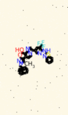 Cc1c(-c2ccn3c(-c4cnc(Nc5nc6ccccc6s5)c(C(F)(F)F)c4)cnc3c2C(=O)O)cnn1CC12CC3CC(CC(C3)C1)C2